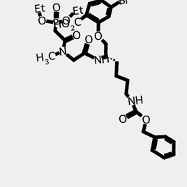 CCOP(=O)(CC(=O)N(C)CC(=O)N[C@@H](CCCCNC(=O)OCc1ccccc1)COc1cc(Br)ccc1C(=O)O)OCC